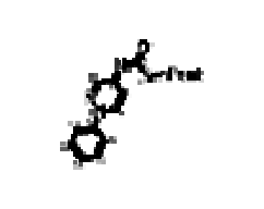 CCCCCSC(=O)N=c1ccn(-c2ccccc2)nc1